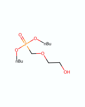 CCCCOP(=O)(COCCO)OCCCC